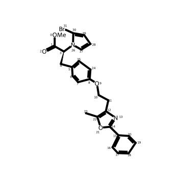 COC(=O)[C@H](Cc1ccc(OCCc2nc(-c3ccccc3)oc2C)cc1)n1cccc1Br